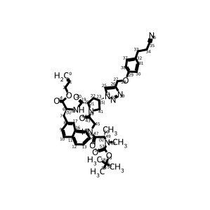 C=CCOC(=O)[C@H](Cc1ccc2ccccc2c1)NC(=O)[C@@H]1C[C@H](n2cc(COc3ccc(CCC#N)cc3)nn2)CN1C(=O)CNC(=O)[C@H](C)N(C)C(=O)OC(C)(C)C